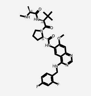 CN[C@@H](C)C(=O)N[C@H](C(=O)N1CCC[C@H]1C(=O)Nc1cc2c(NCc3ccc(F)cc3F)ncnc2cc1OC)C(C)(C)C